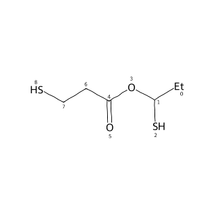 CCC(S)OC(=O)CCS